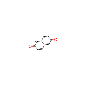 O=C1[C]=C2C=CC(=O)C=C2C=C1